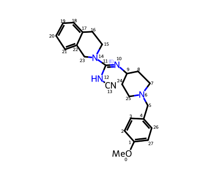 COc1ccc(CN2CCC(/N=C(\NC#N)N3CCc4ccccc4C3)CC2)cc1